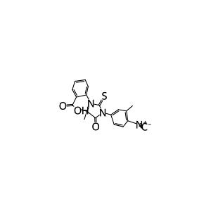 [C-]#[N+]c1ccc(N2C(=O)C(C)(C)N(c3ccccc3C(=O)O)C2=S)cc1C